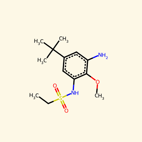 CCS(=O)(=O)Nc1cc(C(C)(C)C)cc(N)c1OC